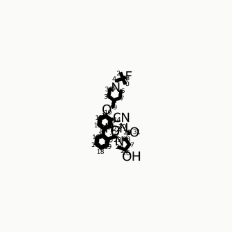 CC(C)(F)CN1CCC(COc2ccc(-c3ccccc3C(=O)N3C[C@H](O)C[C@H]3C(N)=O)cc2C#N)CC1